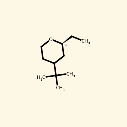 CC[C@H]1CC(C(C)(C)C)CCO1